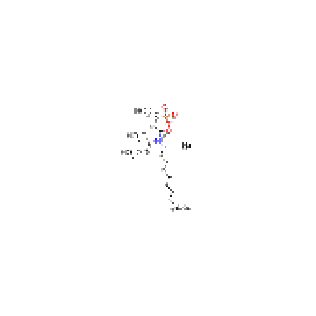 CCCCCCCCCCCCCCCCCCN(C(=O)CC(C(=O)O)S(=O)(=O)[O-])C(CC(=O)O)C(=O)O.[Na+]